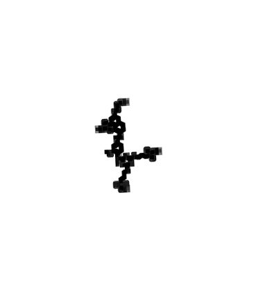 COc1cc(N=Nc2ccc3cc(SOOO)cc(S(=O)(=O)O)c3c2)ccc1Nc1nc(SCCCS(=O)(=O)O)nc(SCCCS(=O)(=O)O)n1